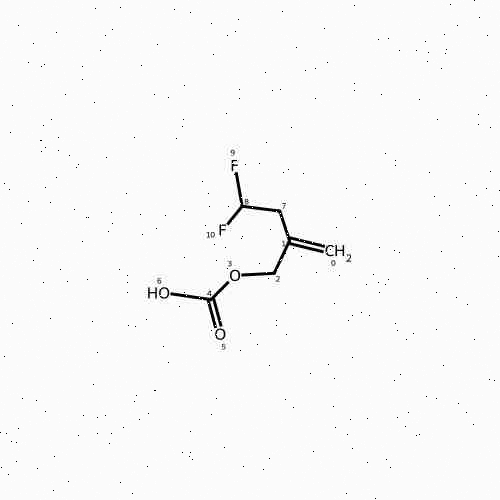 C=C(COC(=O)O)CC(F)F